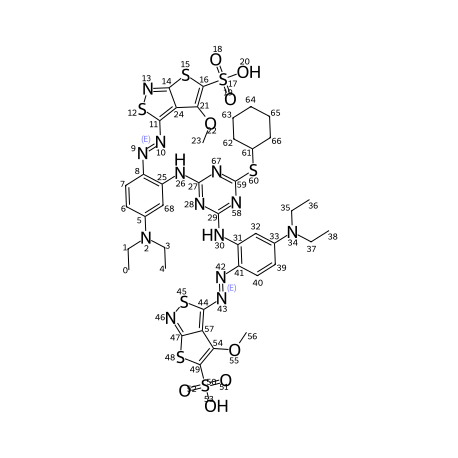 CCN(CC)c1ccc(/N=N/c2snc3sc(S(=O)(=O)O)c(OC)c23)c(Nc2nc(Nc3cc(N(CC)CC)ccc3/N=N/c3snc4sc(S(=O)(=O)O)c(OC)c34)nc(SC3CCCCC3)n2)c1